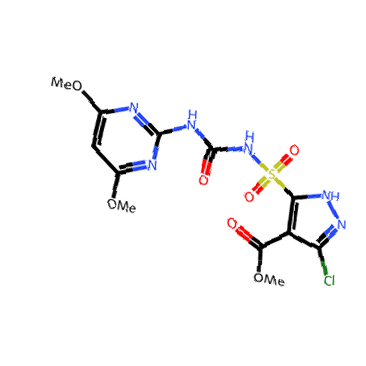 COC(=O)c1c(Cl)n[nH]c1S(=O)(=O)NC(=O)Nc1nc(OC)cc(OC)n1